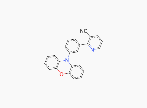 N#Cc1cccnc1-c1cccc(N2c3ccccc3Oc3ccccc32)c1